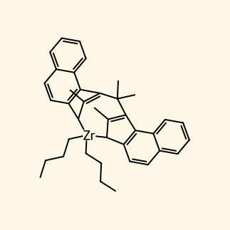 CCC[CH2][Zr]1([CH2]CCC)[CH]2C(C)=C(c3c2ccc2ccccc32)C(C)(C)C2=C(C)[CH]1c1ccc3ccccc3c12